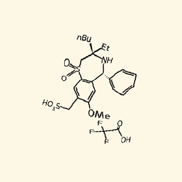 CCCC[C@]1(CC)CS(=O)(=O)c2cc(CS(=O)(=O)O)c(OC)cc2[C@@H](c2ccccc2)N1.O=C(O)C(F)(F)F